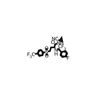 N#CC1(NC(=O)C(CCS(=O)(=O)c2ccc(C(F)(F)F)cc2)N[C@@H](c2ccc(F)cc2)C(F)(F)F)CC1